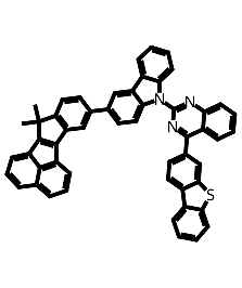 CC1(C)C2=C(c3cc(-c4ccc5c(c4)c4ccccc4n5-c4nc(-c5ccc6c(c5)sc5ccccc56)c5ccccc5n4)ccc31)c1cccc3cccc2c13